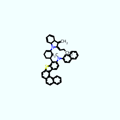 C=C1/C(=C\CC)N(C2=CCCC(c3c(N(C)c4ccc5ccccc5c4)ccc4c3sc3ccc5ccc6ccccc6c5c34)C2)C2C=CC=CC12